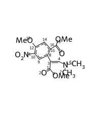 COC(=O)C(=CN(C)C)c1cc([N+](=O)[O-])c(OC)cc1C(=O)OC